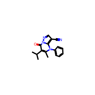 Cc1c(C(C)C)c(=O)n2ncc(C#N)c2n1-c1ccccc1